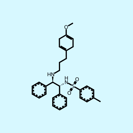 COC1=CCC(CCCN[C@H](c2ccccc2)[C@H](NS(=O)(=O)c2ccc(C)cc2)c2ccccc2)=CC1